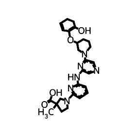 CC1(C(=O)O)CCN(c2cccc(Nc3cncc(N4CCCC(OC5=C(O)CCC=C5)C4)n3)n2)C1